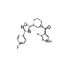 Cc1c[nH]cc1C(=O)N1CCC[C@H](c2nc(-c3ccc(F)cc3)no2)C1